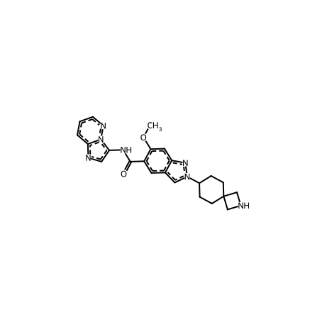 COc1cc2nn(C3CCC4(CC3)CNC4)cc2cc1C(=O)Nc1cnc2cccnn12